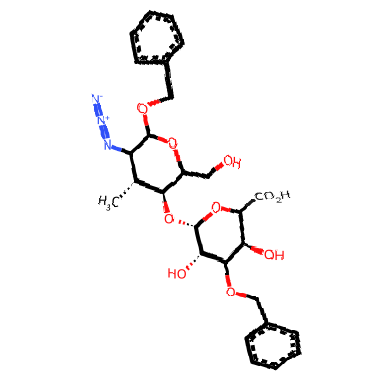 C[C@@H]1C(N=[N+]=[N-])C(OCc2ccccc2)OC(CO)[C@H]1O[C@@H]1OC(C(=O)O)[C@@H](O)C(OCc2ccccc2)[C@@H]1O